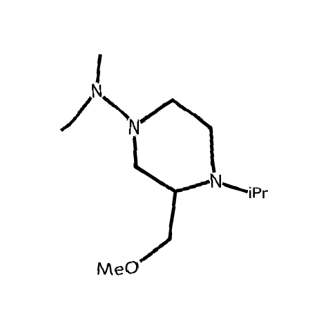 COCC1CN(N(C)C)CCN1C(C)C